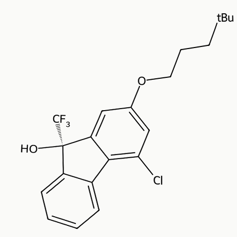 CC(C)(C)CCCOc1cc(Cl)c2c(c1)[C@@](O)(C(F)(F)F)c1ccccc1-2